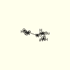 CC(C)NC(=O)O[C@@H]1CC[C@H](c2cc(NC(=O)Cc3cnn(CCCCCCCc4cccc5c4n(C)c(=O)n5C4CCC(=O)NC4=O)c3)nn2C(C)(C)C)C1